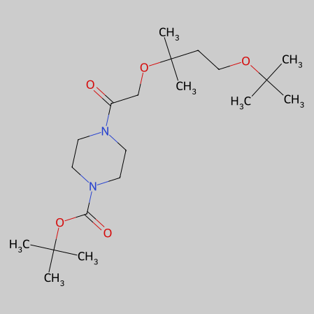 CC(C)(C)OCCC(C)(C)OCC(=O)N1CCN(C(=O)OC(C)(C)C)CC1